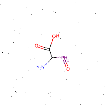 NC([PH2]=O)C(=O)O